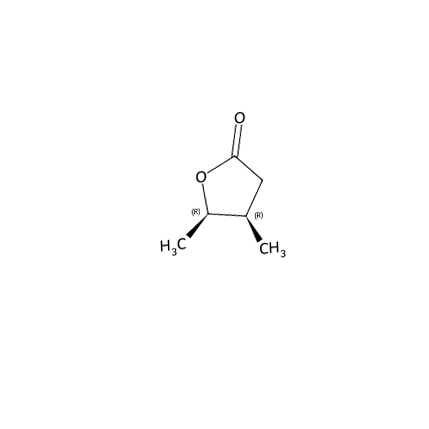 C[C@@H]1CC(=O)O[C@@H]1C